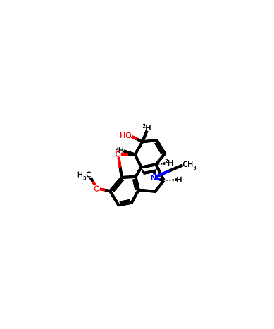 [2H]C1(O)C=C[C@@]2([2H])[C@H]3Cc4ccc(OC)c5c4[C@@]2(CCN3C)C1([2H])O5